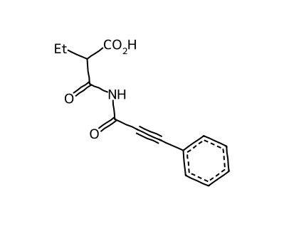 CCC(C(=O)O)C(=O)NC(=O)C#Cc1ccccc1